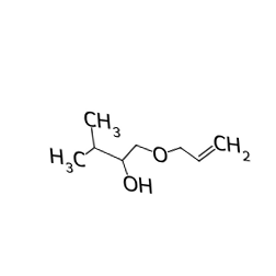 C=CCOCC(O)C(C)C